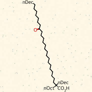 CCCCCCCCCCCCCCCCCC(=O)CCCCCCCCCCCCCCCCC(CCCCCCCC)(CCCCCCCCCC)C(=O)O